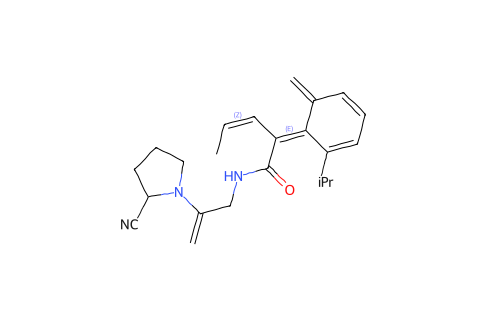 C=C(CNC(=O)C(/C=C\C)=c1\c(C(C)C)cccc1=C)N1CCCC1C#N